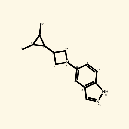 C[C]1C(C)C1C1CN(c2ccc3[nH]ncc3c2)C1